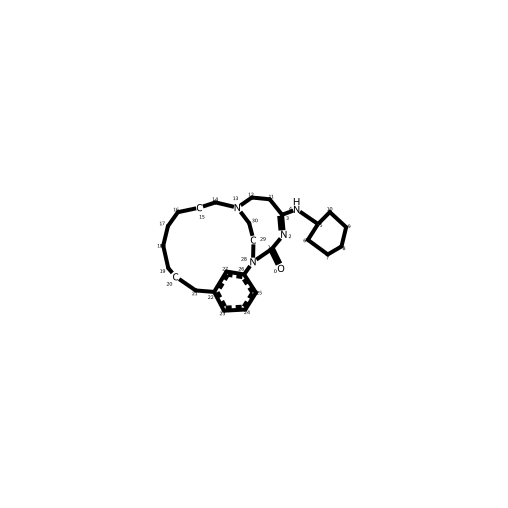 O=C1/N=C(/NC2CCCCC2)CCN2CCCCCCCCc3cccc(c3)N1CC2